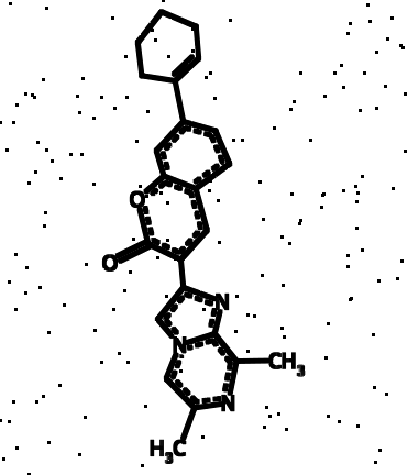 Cc1cn2cc(-c3cc4ccc(C5=CCCCC5)cc4oc3=O)nc2c(C)n1